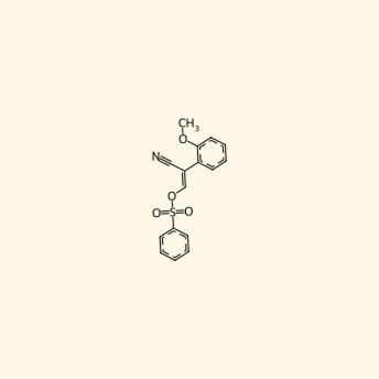 COc1ccccc1C(C#N)=COS(=O)(=O)c1ccccc1